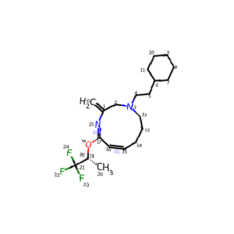 C=C1CN(CCC2CCCCC2)CCC/C=C\C(O[C@H](C)C(F)(F)F)=N/1